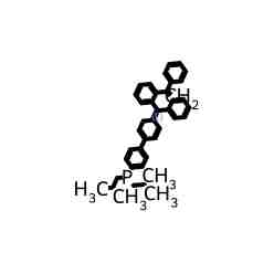 C=C(c1ccccc1)c1ccccc1/C(=C1/C=CC(c2ccc(P(CC(C)C)CC(C)C)cc2)=CC1)c1ccccc1